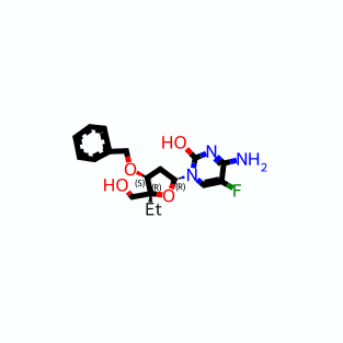 CC[C@]1(CO)O[C@@H](N2C=C(F)C(N)=NC2O)C[C@@H]1OCc1ccccc1